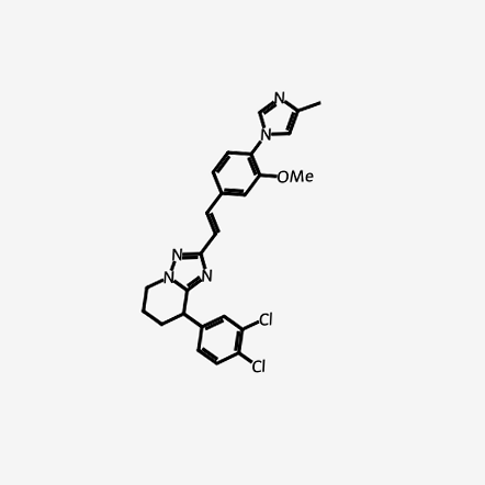 COc1cc(/C=C/c2nc3n(n2)CCCC3c2ccc(Cl)c(Cl)c2)ccc1-n1cnc(C)c1